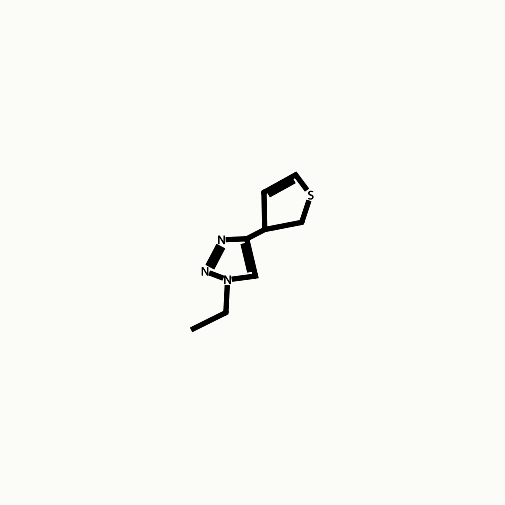 CCn1cc(C2C=CSC2)nn1